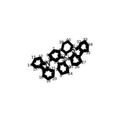 c1ccc([Si](c2cccc(-n3c4ccccc4c4ccccc43)c2)(c2cccc3c2sc2ccccc23)C2CCCCC2)cc1